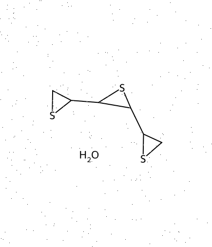 C1SC1C1SC1C1CS1.O